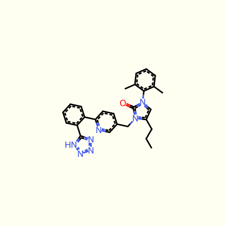 CCCc1cn(-c2c(C)cccc2C)c(=O)n1Cc1ccc(-c2ccccc2-c2nnn[nH]2)nc1